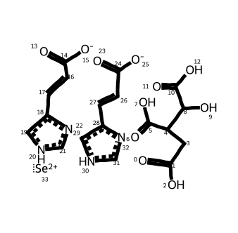 O=C(O)CC(C(=O)O)C(O)C(=O)O.O=C([O-])C=Cc1c[nH]cn1.O=C([O-])C=Cc1c[nH]cn1.[Se+2]